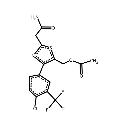 CC(=O)OCc1sc(CC(N)=O)nc1-c1ccc(Cl)c(C(F)(F)F)c1